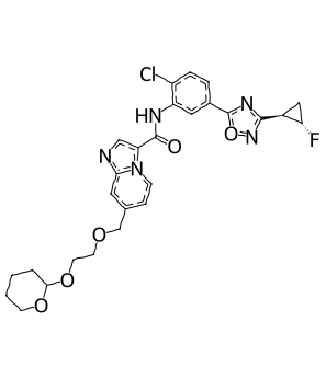 O=C(Nc1cc(-c2nc([C@H]3C[C@@H]3F)no2)ccc1Cl)c1cnc2cc(COCCOC3CCCCO3)ccn12